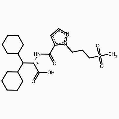 CS(=O)(=O)CCCn1nccc1C(=O)N[C@H](C(=O)O)C(C1CCCCC1)C1CCCCC1